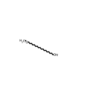 C=COCCCCCCCCCCCCCCCCCCO